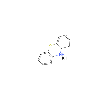 C1=CCC2Nc3ccccc3SC2=C1.[KH]